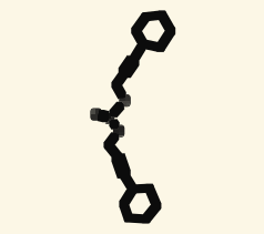 O=S(OCC#CC1CCCCC1)OCC#CC1CCCCC1